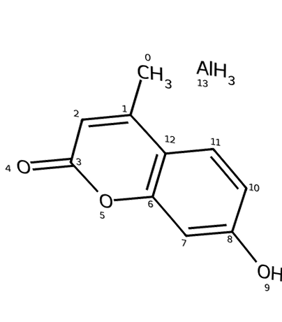 Cc1cc(=O)oc2cc(O)ccc12.[AlH3]